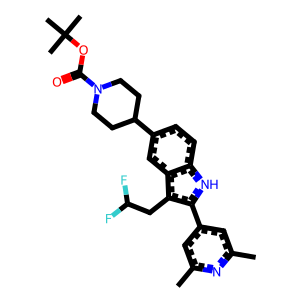 Cc1cc(-c2[nH]c3ccc(C4CCN(C(=O)OC(C)(C)C)CC4)cc3c2CC(F)F)cc(C)n1